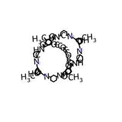 Cc1cc2c(O)c(c1)/C=N\C1CCCC(C1)NC(=O)c1cc(C)cc3c1OCCOCCOCCOc1c(cc(C)cc1C(=O)NC1CCCC(C1)/N=C\c1cc(C)cc(c1O)/C=N/C1CCCC(C1)NC3=O)C(=O)NC1CCCC(C1)/N=C\2